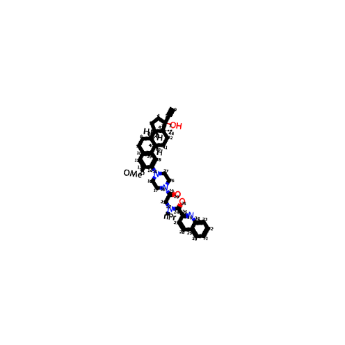 C#C[C@]1(O)CC[C@H]2[C@@H]3CCc4cc(OC)c(N5CCN(C(=O)CN(CCC)C(=O)c6ccc7ccccc7n6)CC5)cc4[C@H]3CC[C@@]21C